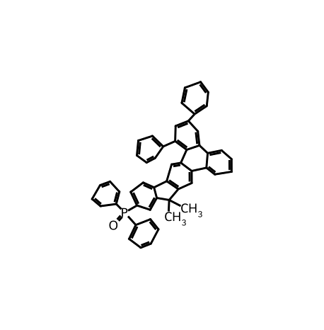 CC1(C)c2cc(P(=O)(c3ccccc3)c3ccccc3)ccc2-c2cc3c(cc21)c1ccccc1c1cc(-c2ccccc2)cc(-c2ccccc2)c13